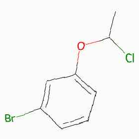 CC(Cl)Oc1cccc(Br)c1